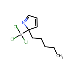 CCCCC[C]1([Zr]([Cl])([Cl])[Cl])C=CC=N1